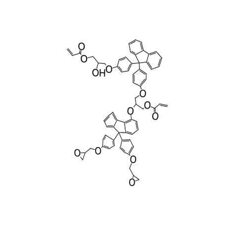 C=CC(=O)OCC(O)COc1ccc(C2(c3ccc(OCC(COC(=O)C=C)Oc4cccc5c4-c4ccccc4C5(c4ccc(OCC5CO5)cc4)c4ccc(OCC5CO5)cc4)cc3)c3ccccc3-c3ccccc32)cc1